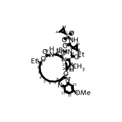 CC[C@@H]1CCCCCCc2nc3ccc(OC)cc3nc2O[C@H]2CN(C(=O)[C@H](C(C)(C)C)NC(=O)O1)[C@H](C(=O)N[C@]1(C(=O)NS(=O)(=O)C3CC3)C[C@H]1CC)[C@@H]2C